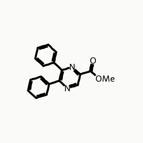 COC(=O)c1cnc(-c2ccccc2)c(-c2ccccc2)n1